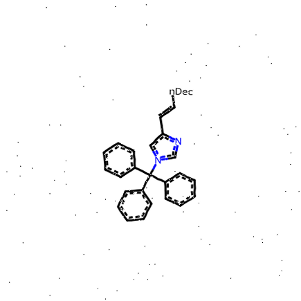 CCCCCCCCCCC=Cc1cn(C(c2ccccc2)(c2ccccc2)c2ccccc2)cn1